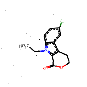 O=C(O)Cn1c2c(c3cc(Cl)ccc31)CCOC2=O